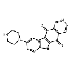 O=C1c2ccncc2C(=O)c2c1[nH]c1ccc(N3CCNCC3)cc21